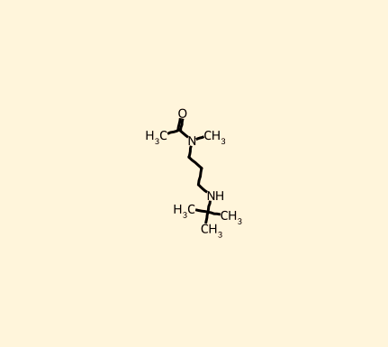 CC(=O)N(C)CCCNC(C)(C)C